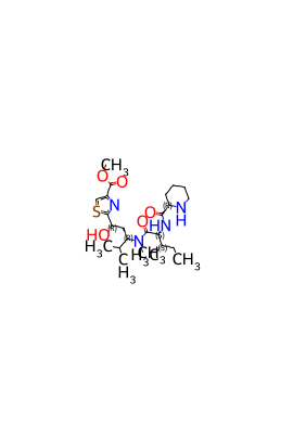 CC[C@H](C)[C@H](NC(=O)[C@H]1CCCCN1)C(=O)N(C)[C@H](C[C@@H](O)c1nc(C(=O)OC)cs1)C(C)C